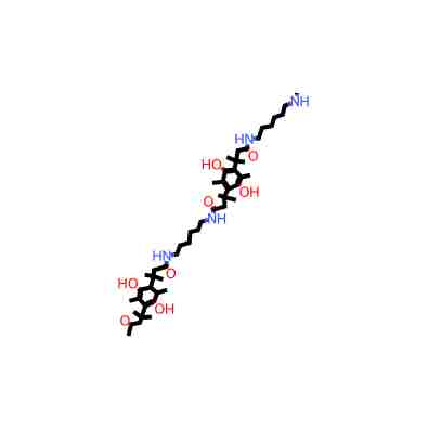 CNCCCCCCNC(=O)CC(C)(C)c1c(C)c(O)c(C(C)(C)CC(=O)NCCCCCCNC(=O)CC(C)(C)C2C(O)=C(C)C(C(C)(C)CC(C)=O)=C(O)C2C)c(C)c1O